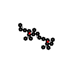 c1ccc(-n2c3ccccc3c3c(-c4cccc5c6ccccc6n(-c6ccc(-c7ccc(-c8ccc9sc%10c(-c%11ccc(-c%12cccc%13c%12c%12ccccc%12n%13-c%12ccccc%12)c%12c%11c%11ccccc%11n%12-c%11ccc(-c%12ccc(-c%13cccc%14c%13sc%13ccccc%13%14)cc%12)cc%11)cccc%10c9c8)cc7)cc6)c45)cccc32)cc1